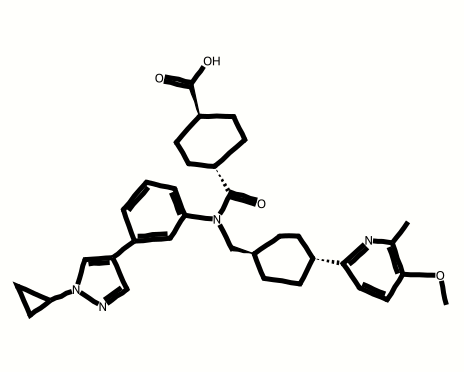 COc1ccc([C@H]2CC[C@H](CN(c3cccc(-c4cnn(C5CC5)c4)c3)C(=O)[C@H]3CC[C@H](C(=O)O)CC3)CC2)nc1C